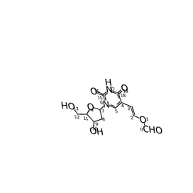 O=CO/C=C/c1cn(C2CC(O)C(CO)O2)c(=O)[nH]c1=O